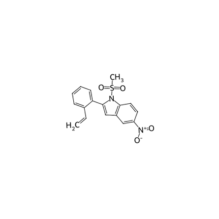 C=Cc1ccccc1-c1cc2cc([N+](=O)[O-])ccc2n1S(C)(=O)=O